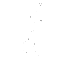 COc1ccc(/C=C/c2cc[n+](C)c(=O)n2C)cc1